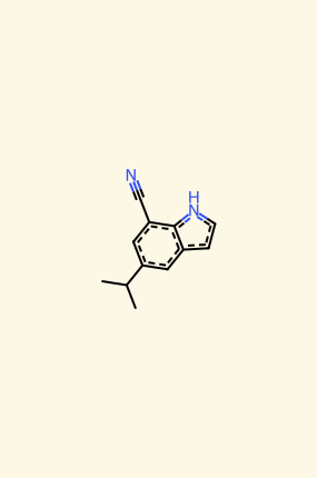 CC(C)c1cc(C#N)c2[nH]ccc2c1